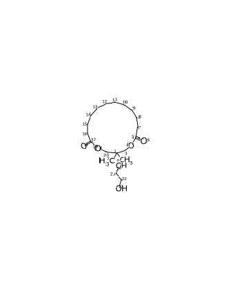 CC1(C)COC(=O)CCCCCCCCCCC(=O)OC1.OCCO